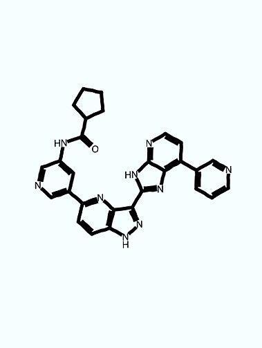 O=C(Nc1cncc(-c2ccc3[nH]nc(-c4nc5c(-c6cccnc6)ccnc5[nH]4)c3n2)c1)C1CCCC1